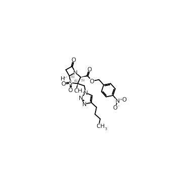 CCCCc1cn(C[C@@]2(C)[C@H](C(=O)OCc3ccc([N+](=O)[O-])cc3)N3C(=O)C[C@@H]3S2(=O)=O)nn1